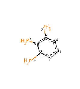 Pc1cccc(P)c1P